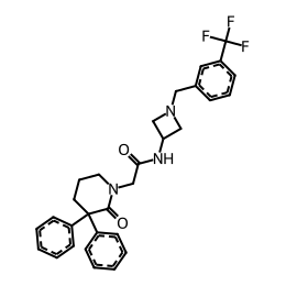 O=C(CN1CCCC(c2ccccc2)(c2ccccc2)C1=O)NC1CN(Cc2cccc(C(F)(F)F)c2)C1